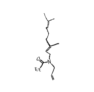 C=CCN(C/C=C(\C)CCC=C(C)C)C(=O)CC